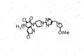 COC1CCN(Cc2cnc(N3CCC(n4c(=O)c(=O)n(C)c5cc(Cl)cnc54)CC3)nc2)C1